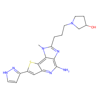 Cn1c(CCCN2CCC(O)C2)nc2c(N)nc3cc(-c4cc[nH]n4)sc3c21